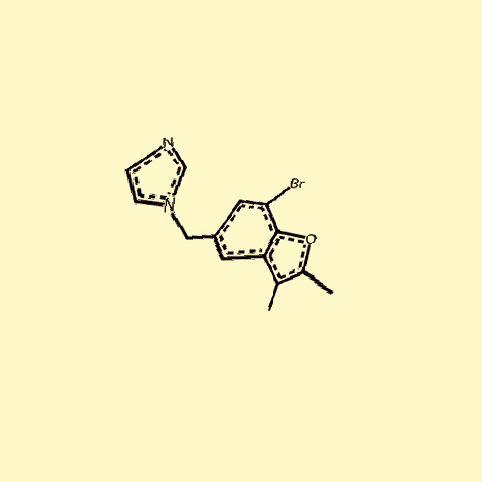 Cc1oc2c(Br)cc(Cn3ccnc3)cc2c1C